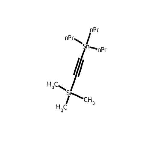 CC[CH2][Sn]([C]#C[Si](C)(C)C)([CH2]CC)[CH2]CC